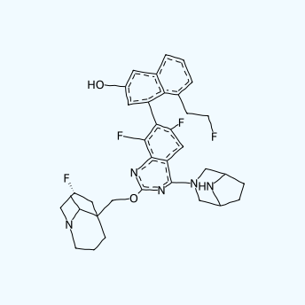 CC1N2CCCC1(COc1nc(N3CC4CCC(C3)N4)c3cc(F)c(-c4cc(O)cc5cccc(CCF)c45)c(F)c3n1)C[C@@H](F)C2